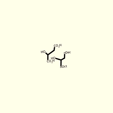 CCCCCCCCCCCC(O)CCCCCCCC.O=C(O)CC(O)C(=O)O